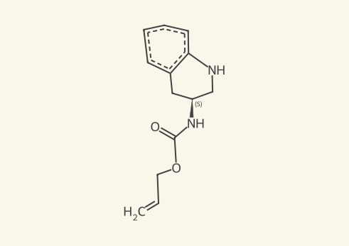 C=CCOC(=O)N[C@@H]1CNc2ccccc2C1